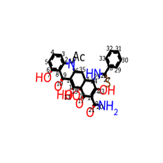 CC(=O)N1c2cccc(O)c2C(=O)C2=C(O)C3(O)C(=O)C(C(N)=O)=C(O)C(NC(=S)c4ccccc4)C3CC21